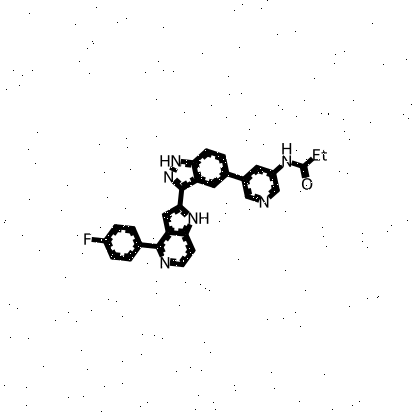 CCC(=O)Nc1cncc(-c2ccc3[nH]nc(-c4cc5c(-c6ccc(F)cc6)nccc5[nH]4)c3c2)c1